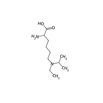 CCN(CCCCC(N)C(=O)O)C(C)C